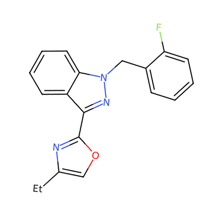 CCc1coc(-c2nn(Cc3ccccc3F)c3ccccc23)n1